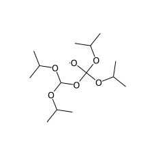 CC(C)OC(OC(C)C)OC([O])(OC(C)C)OC(C)C